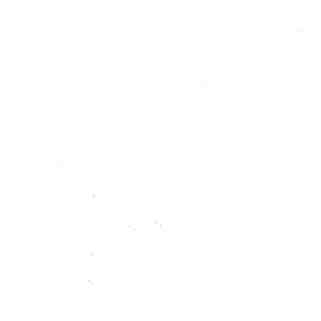 C[C@@H]1COCCN1c1cc(-c2ccc(NC(=O)C3CC(N)C3)cc2)c2cnn(-c3cc[nH]n3)c2n1